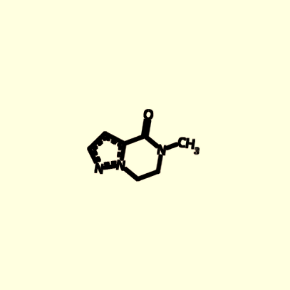 CN1CCn2nccc2C1=O